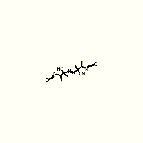 CC(N=C=O)C(C)(C#N)/N=N/C(C)(C#N)C(C)N=C=O